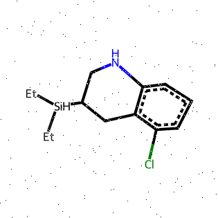 CC[SiH](CC)C1CNc2cccc(Cl)c2C1